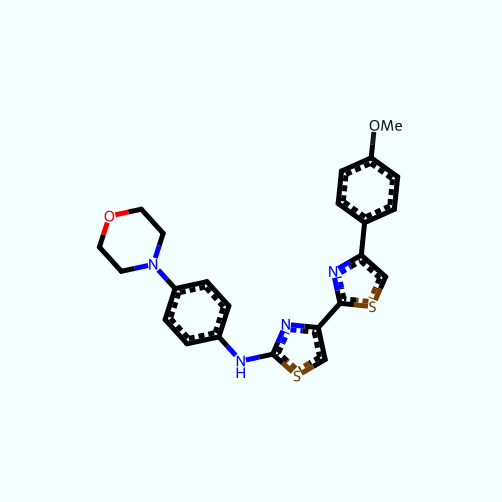 COc1ccc(-c2csc(-c3csc(Nc4ccc(N5CCOCC5)cc4)n3)n2)cc1